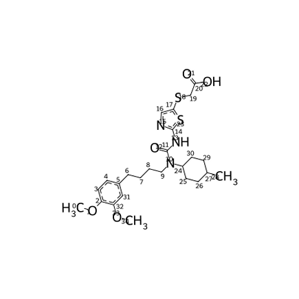 COc1ccc(CCCCN(C(=O)Nc2ncc(SCC(=O)O)s2)C2CCC(C)CC2)cc1OC